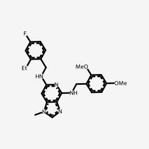 CCc1cc(F)ccc1CNc1cc2c(ncn2C)c(NCc2ccc(OC)cc2OC)n1